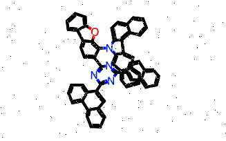 c1ccc2cc(-c3nc(-c4ccc5c(oc6ccccc65)c4-n4c5cc6ccccc6cc5c5c6ccccc6ccc54)nc(-c4cc5ccccc5c5ccccc45)n3)ccc2c1